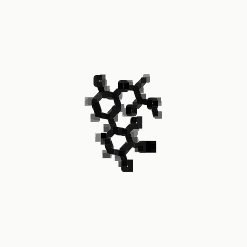 COC(=O)C(C)Oc1cc(-c2ncc(Cl)c(O)c2Cl)ccc1Cl